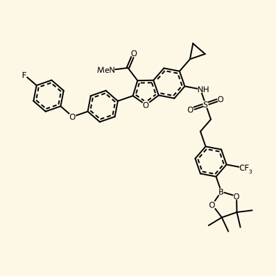 CNC(=O)c1c(-c2ccc(Oc3ccc(F)cc3)cc2)oc2cc(NS(=O)(=O)CCc3ccc(B4OC(C)(C)C(C)(C)O4)c(C(F)(F)F)c3)c(C3CC3)cc12